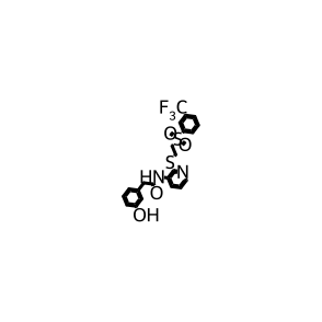 O=C(Cc1cccc(O)c1)Nc1cccnc1SCCS(=O)(=O)c1cccc(C(F)(F)F)c1